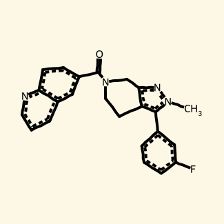 Cn1nc2c(c1-c1cccc(F)c1)CCN(C(=O)c1ccc3ncccc3c1)C2